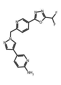 Nc1ccc(-c2cnn(Cc3ccc(-c4nnc(C(F)F)o4)cn3)c2)cn1